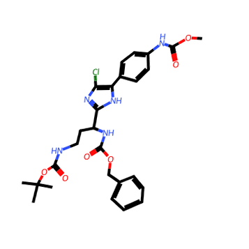 COC(=O)Nc1ccc(-c2[nH]c(C(CCNC(=O)OC(C)(C)C)NC(=O)OCc3ccccc3)nc2Cl)cc1